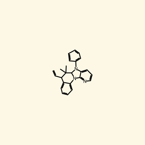 C=CC1c2ccccc2N2c3ncccc3N(c3ccccc3)C2C1(C)C